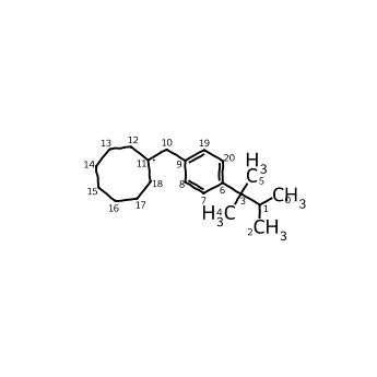 CC(C)C(C)(C)c1ccc(C[C]2CCCCCCC2)cc1